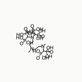 CN(CCN(C)C(P(=O)(O)O)P(=O)(O)O)CCN(C(P(=O)(O)O)P(=O)(O)O)C(P(=O)(O)O)P(=O)(O)O